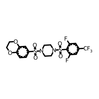 O=S(=O)(c1ccc2c(c1)OCCO2)N1CCN(S(=O)(=O)c2c(F)cc(C(F)(F)F)cc2F)CC1